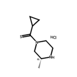 C[C@@H]1CN(C(=S)C2CC2)CCN1.Cl